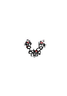 CCCC(C)C1=Cc2c(-c3ccc(C(C(F)(F)F)(C(F)(F)F)C(F)(F)F)cc3)cccc2[CH]1[Zr]([Cl])([Cl])([CH]1C(CC)=Cc2c(-c3ccc(C(C(F)(F)F)(C(F)(F)F)C(F)(F)F)cc3)cccc21)[SiH](C)C